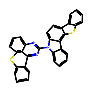 c1ccc2c(c1)Sc1cccc3nc(-n4c5ccccc5c5c6sc7ccccc7c6ccc54)nc-2c13